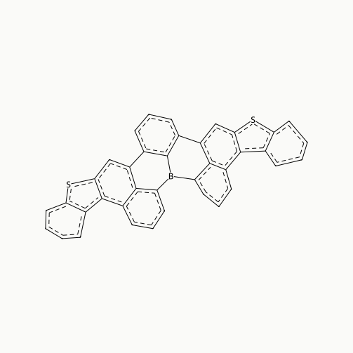 c1cc2c3c(c1)-c1cc4sc5ccccc5c4c4cccc(c14)B3c1cccc3c1c-2cc1sc2ccccc2c13